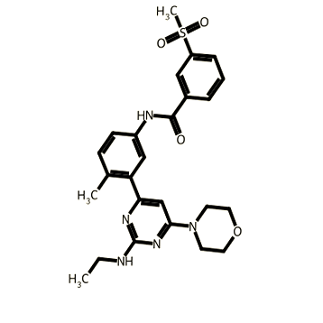 CCNc1nc(-c2cc(NC(=O)c3cccc(S(C)(=O)=O)c3)ccc2C)cc(N2CCOCC2)n1